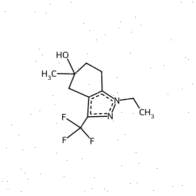 CCn1nc(C(F)(F)F)c2c1CCC(C)(O)C2